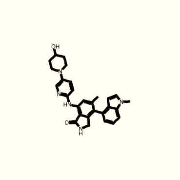 Cc1cc(Nc2ccc(N3CCC(O)CC3)cn2)c2c(c1-c1cccc3c1ccn3C)CNC2=O